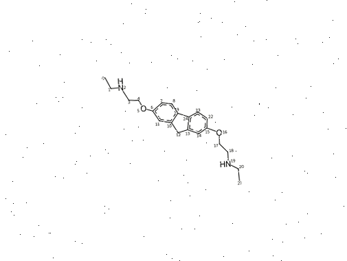 CCNCCOc1ccc2c(c1)Cc1cc(OCCNCC)ccc1-2